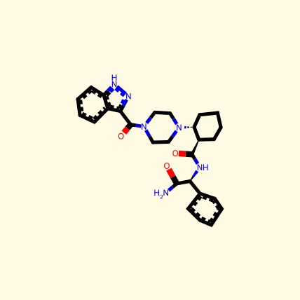 NC(=O)[C@@H](NC(=O)[C@@H]1CCCC[C@H]1N1CCN(C(=O)c2n[nH]c3ccccc23)CC1)c1ccccc1